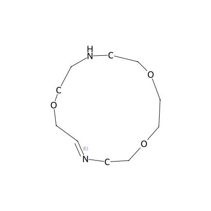 C1=N/CCOCCOCCNCCOC/1